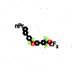 CCCc1ccc2cc(C3CCC(C(F)(F)Oc4ccc(-c5cc(F)c(C(F)(F)OC(F)(F)F)c(F)c5)cc4)CC3)ccc2c1